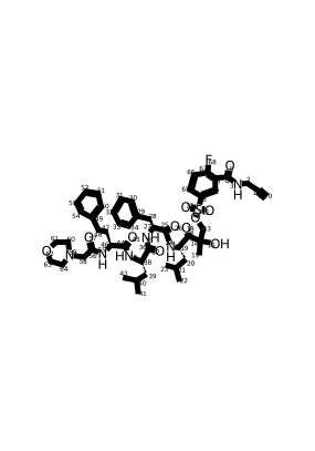 C#CCNC(=O)c1cc(S(=O)(=O)OCC(C)(O)C(=O)[C@H](CC(C)C)NC(=O)[C@H](Cc2ccccc2)NC(=O)[C@H](CC(C)C)NC(=O)[C@H](CCc2ccccc2)NC(=O)CN2CCOCC2)ccc1F